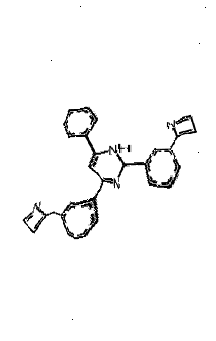 C1=NC(c2cccc(C3=NC(c4cccc(C5=CC=N5)c4)NC(c4ccccc4)=C3)c2)=C1